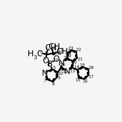 CC1(C)OB(c2ncccc2-c2nc(-c3ccccc3)c3ccccc3n2)OC1(C)C